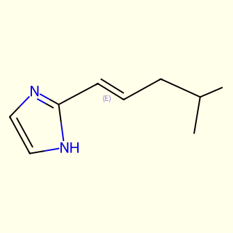 CC(C)C/C=C/c1ncc[nH]1